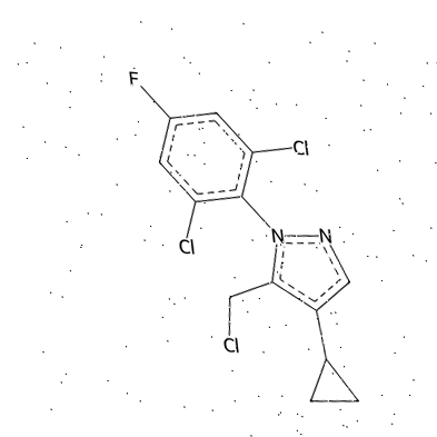 Fc1cc(Cl)c(-n2ncc(C3CC3)c2CCl)c(Cl)c1